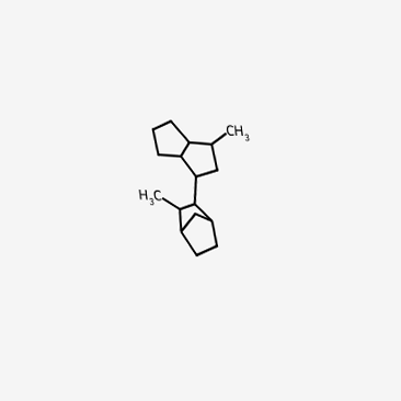 CC1CC(C2C3CCC(C3)C2C)C2CCCC12